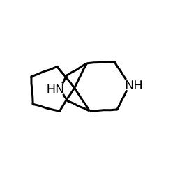 C1CCC2(C1)C1CNCC2CNC1